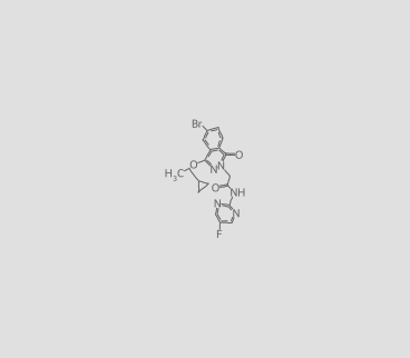 CC(Oc1nn(CC(=O)Nc2ncc(F)cn2)c(=O)c2ccc(Br)cc12)C1CC1